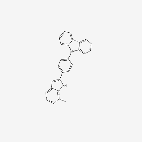 Cc1cccc2cc(-c3ccc(-n4c5ccccc5c5ccccc54)cc3)[nH]c12